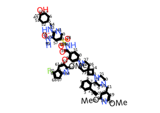 C#Cc1ccccc1[C@@H]1CN(Cc2cc(OC)nc(OC)c2)CCN1C1CC2(CCN(c3ccc(C(=O)NS(=O)(=O)c4cnc(NC[C@H]5CC[C@](C)(O)CC5)c([NH+](C)[O-])c4)c(Oc4cc5c(nc4OC)CC=C5F)c3)CC2)C1